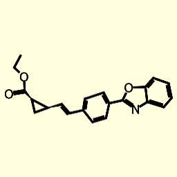 CCOC(=O)[C@@H]1C[C@@H]1/C=C/c1ccc(-c2nc3ccccc3o2)cc1